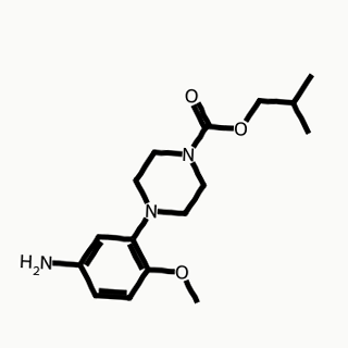 COc1ccc(N)cc1N1CCN(C(=O)OCC(C)C)CC1